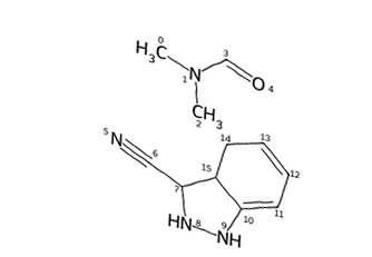 CN(C)C=O.N#CC1NNC2=CC=CCC21